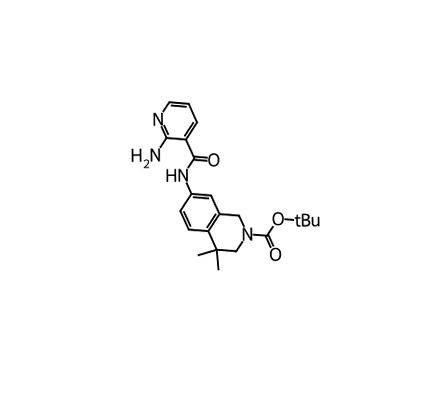 CC(C)(C)OC(=O)N1Cc2cc(NC(=O)c3cccnc3N)ccc2C(C)(C)C1